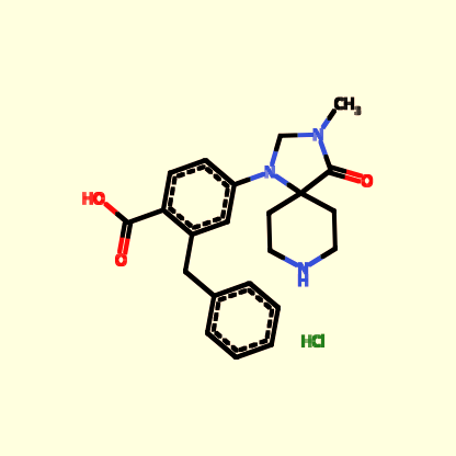 CN1CN(c2ccc(C(=O)O)c(Cc3ccccc3)c2)C2(CCNCC2)C1=O.Cl